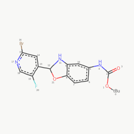 CC(C)(C)OC(=O)Nc1ccc2c(c1)NC(c1cc(Br)ncc1F)O2